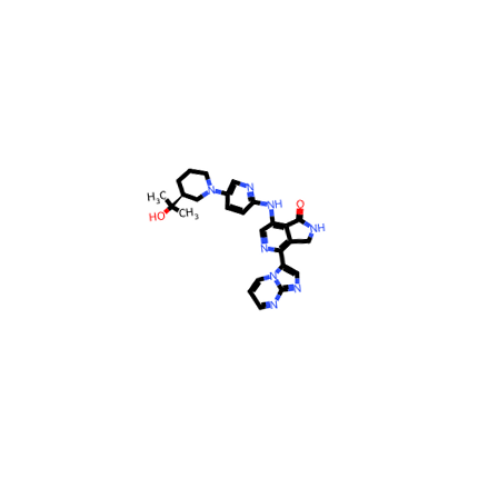 CC(C)(O)[C@H]1CCCN(c2ccc(Nc3cnc(-c4cnc5ncccn45)c4c3C(=O)NC4)nc2)C1